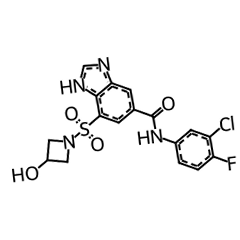 O=C(Nc1ccc(F)c(Cl)c1)c1cc(S(=O)(=O)N2CC(O)C2)c2[nH]cnc2c1